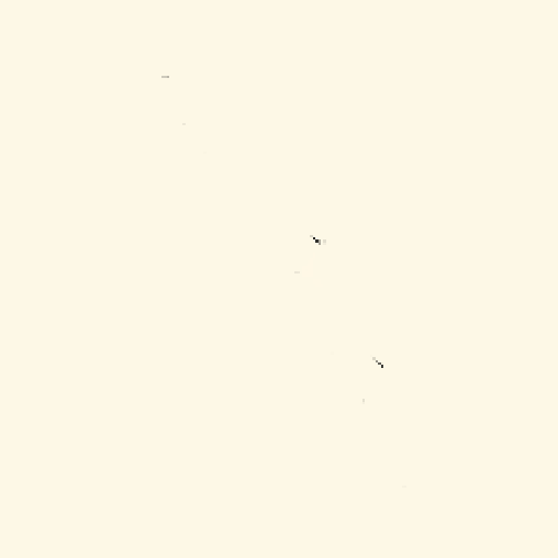 CCCCCc1ccc([C@H]2CC[C@H](CO[C@H]3CC[C@H](C=CC=CC#N)CC3)CC2)cc1